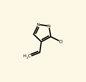 C=CC1=C(Cl)[N]N=C1